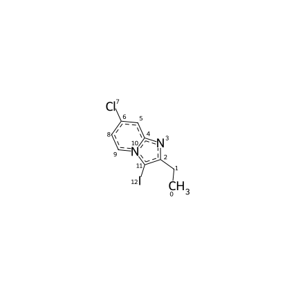 CCc1nc2cc(Cl)ccn2c1I